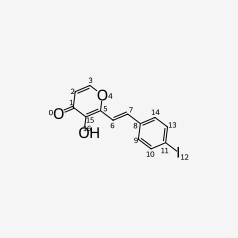 O=c1ccoc(/C=C/c2ccc(I)cc2)c1O